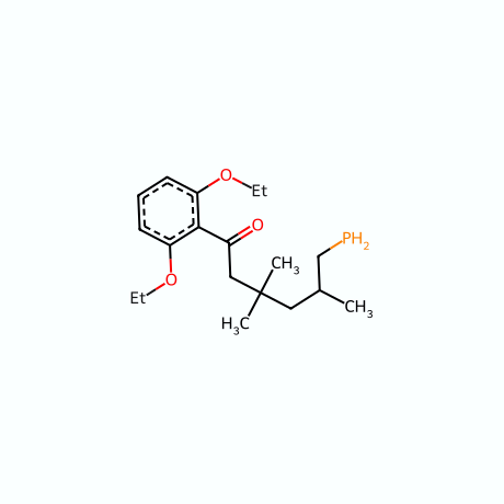 CCOc1cccc(OCC)c1C(=O)CC(C)(C)CC(C)CP